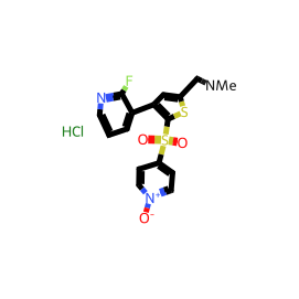 CNCc1cc(-c2cccnc2F)c(S(=O)(=O)c2cc[n+]([O-])cc2)s1.Cl